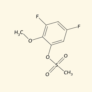 COc1c(F)cc(F)cc1OS(C)(=O)=O